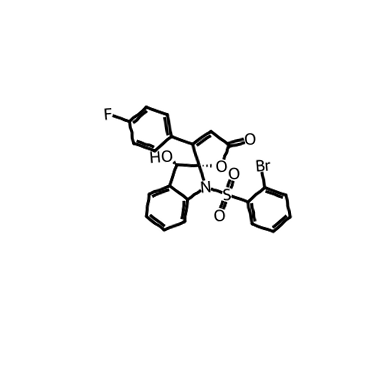 O=C1C=C(c2ccc(F)cc2)[C@]2(O1)[C@@H](O)c1ccccc1N2S(=O)(=O)c1ccccc1Br